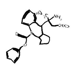 NC(CC=O)(C(=O)O)C1c2ccccc2N(C(=O)Oc2ccccc2)C2CCCC21